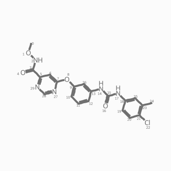 CONC(=O)c1cc(Oc2cccc(NC(=O)Nc3ccc(Cl)c(C)c3)c2)ncn1